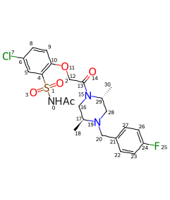 CC(=O)NS(=O)(=O)c1cc(Cl)ccc1OCC(=O)N1C[C@H](C)N(Cc2ccc(F)cc2)C[C@H]1C